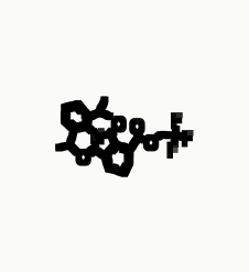 CC(C)c1cccc(C(C)C)c1N1C(=O)c2cccc(C(=O)OCC(F)(F)F)c2C1=O